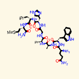 CSCC[C@H](NC(=O)[C@H](CC(C)C)NC(=O)[C@H](Cc1c[nH]cn1)NC(=O)CNC(=O)[C@@H](NC(=O)[C@H](C)NC(=O)[C@H](Cc1c[nH]c2ccccc12)NC(=O)C(N)CCC(N)=O)C(C)C)C(N)=O